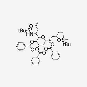 C=CCC(N[S@+]([O-])C(C)(C)C)[C@H]1O[C@H](SCC(C=C)O[Si](C)(C)C(C)(C)C)[C@H](OC(=O)c2ccccc2)[C@@H](OC(=O)c2ccccc2)[C@H]1OC(=O)c1ccccc1